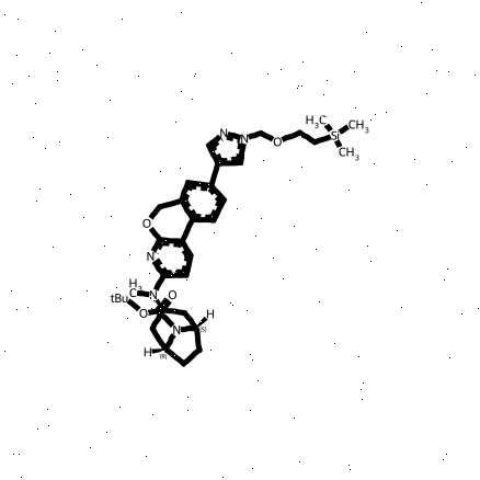 CN(c1ccc2c(n1)OCc1cc(-c3cnn(COCC[Si](C)(C)C)c3)ccc1-2)[C@@H]1C[C@H]2CC[C@@H](C1)N2C(=O)OC(C)(C)C